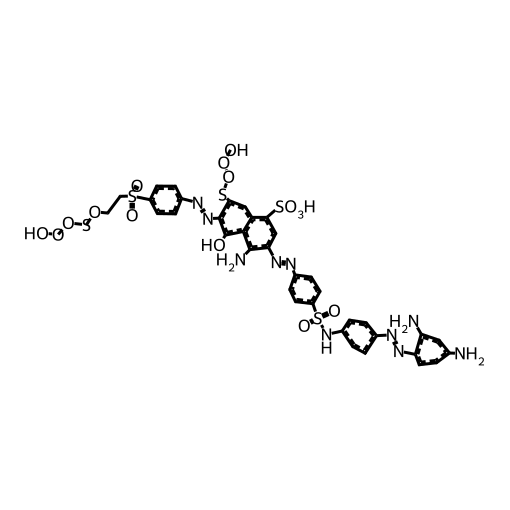 Nc1ccc(/N=N/c2ccc(NS(=O)(=O)c3ccc(/N=N/c4cc(S(=O)(=O)O)c5cc(SOOO)c(/N=N/c6ccc(S(=O)(=O)CCOSOOO)cc6)c(O)c5c4N)cc3)cc2)c(N)c1